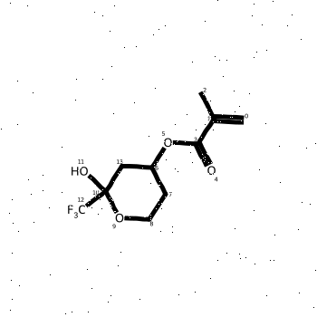 C=C(C)C(=O)OC1CCOC(O)(C(F)(F)F)C1